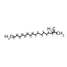 [CH2]C(C)=CCCCCCCCCCCCCCCC